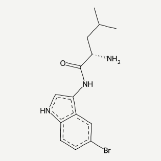 CC(C)C[C@H](N)C(=O)Nc1c[nH]c2ccc(Br)cc12